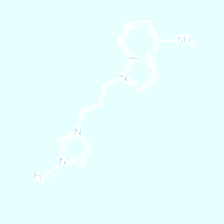 C[n+]1ccn(CCCn2ccc3c(N)cccc32)c1